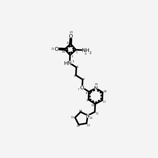 Nc1c(NCCCOc2cc(CN3CCCC3)ccn2)c(=O)c1=O